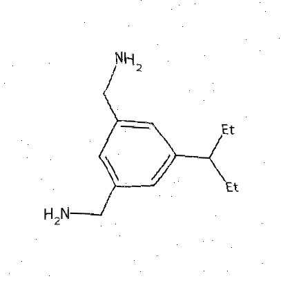 CCC(CC)c1cc(CN)cc(CN)c1